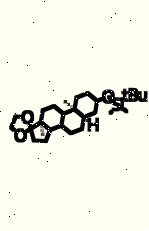 CC(C)(C)[Si](C)(C)OC1CC[C@]2(C)C3CC[C@@]4(C)C(CCC45OCCO5)C3CC[C@@H]2C1